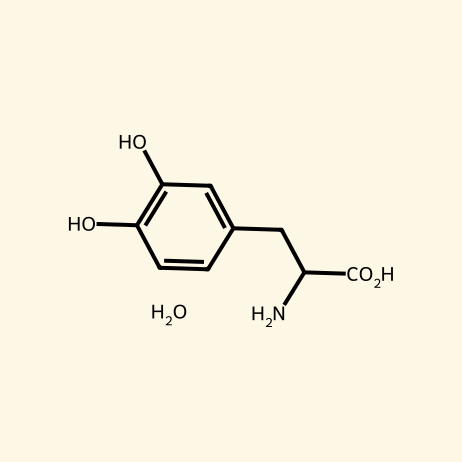 NC(Cc1ccc(O)c(O)c1)C(=O)O.O